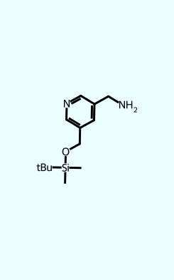 CC(C)(C)[Si](C)(C)OCc1cncc(CN)c1